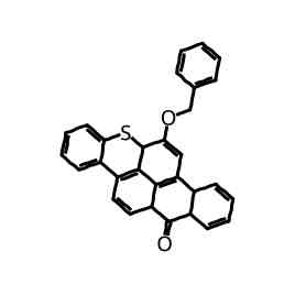 O=C1C2C=CC3=C4C2=C(C=C(OCc2ccccc2)C4Sc2ccccc23)C2C=CC=CC12